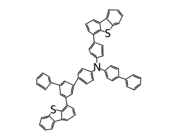 c1ccc(-c2ccc(N(c3ccc(-c4cc(-c5ccccc5)cc(-c5cccc6c5sc5ccccc56)c4)cc3)c3ccc(-c4cccc5c4sc4ccccc45)cc3)cc2)cc1